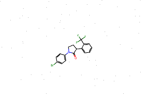 O=C1C(c2ccccc2C(F)(F)F)CCN1c1ccc(Br)cc1